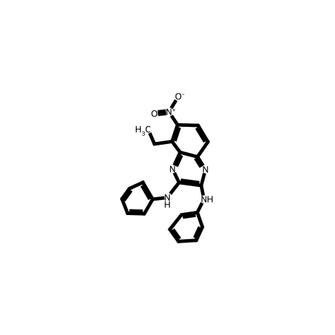 CCc1c([N+](=O)[O-])ccc2nc(Nc3ccccc3)c(Nc3ccccc3)nc12